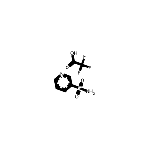 NS(=O)(=O)c1cccnc1.O=C(O)C(F)(F)F